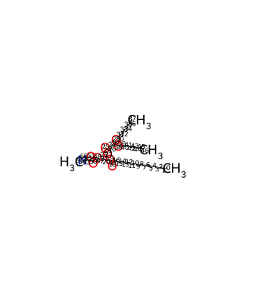 CCCCCC=CCC=CCCCCCCCC(=O)OCC(COC(=O)CCC(OCCCCCCCC)OCCCCCCCC)COC(=O)OC1CN(C)C1